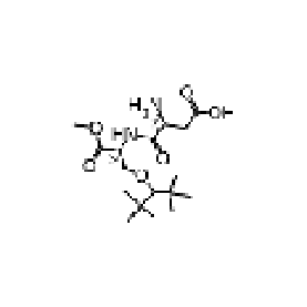 COC(=O)[C@H](COC(C(C)(C)C)C(C)(C)C)NC(=O)[C@@H](N)CC(=O)O